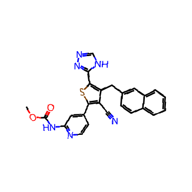 COC(=O)Nc1cc(-c2sc(-c3nnc[nH]3)c(Cc3ccc4ccccc4c3)c2C#N)ccn1